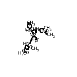 C=CC(=O)N1CCC(Nc2cc(N[C@@H]3CCN(C)C[C@@H]3F)c3nc(C#CCNc4ccc(S(C)(=O)=O)cc4OC)c(CC(F)(F)F)n3c2)C[C@@H]1C